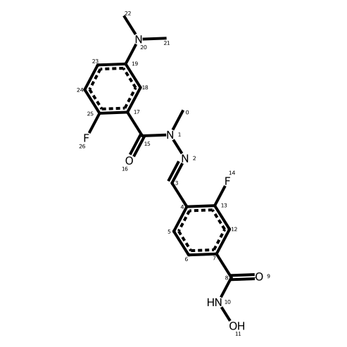 CN(/N=C/c1ccc(C(=O)NO)cc1F)C(=O)c1cc(N(C)C)ccc1F